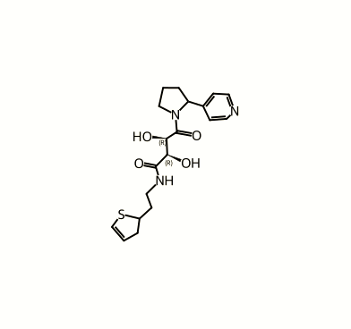 O=C(NCCC1CC=CS1)[C@H](O)[C@@H](O)C(=O)N1CCCC1c1ccncc1